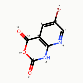 O=c1[nH]c2ncc(Br)cc2c(=O)o1